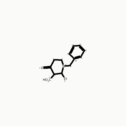 CCC1C(C(=O)O)C(=O)CCN1Cc1ccccc1